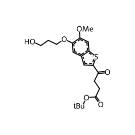 COc1cc2sc(C(=O)CCC(=O)OC(C)(C)C)cc2cc1OCCCO